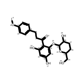 O=C(CCc1ccc(OI)cc1)c1c(O)cc(O)cc1OC1OC(CO)CCC1O